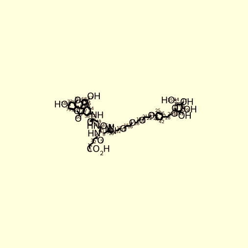 O=C(O)CCCC(=O)N[C@@H](Cc1cn(CCOCCOCCOCCOc2ccc(CCO[C@@H]3O[C@H](CO)C(O)[C@H](O)[C@H]3O)cc2)nn1)C(=O)NCC(=O)Nc1ccc2c(c1)C(=O)OC21c2ccc(O)cc2Oc2cc(O)ccc21